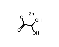 O=C(O)C(O)O.[Zn]